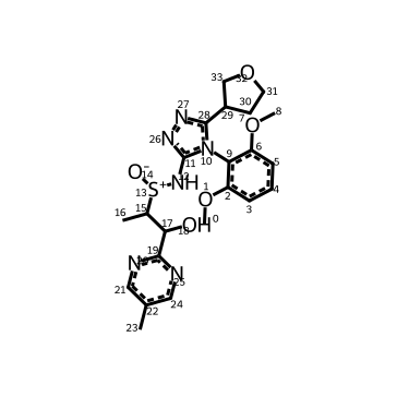 COc1cccc(OC)c1-n1c(N[S+]([O-])C(C)C(O)c2ncc(C)cn2)nnc1C1CCOC1